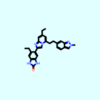 CCc1cc(CCc2ccc3cn(C)nc3c2)n2cc(-c3cc4[nH]c(=O)[nH]c4cc3CC)nc2c1